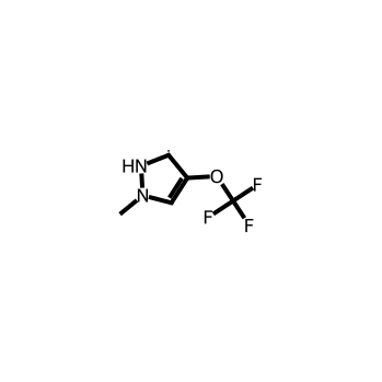 CN1C=C(OC(F)(F)F)[CH]N1